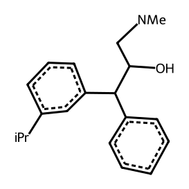 CNCC(O)C(c1ccccc1)c1cccc(C(C)C)c1